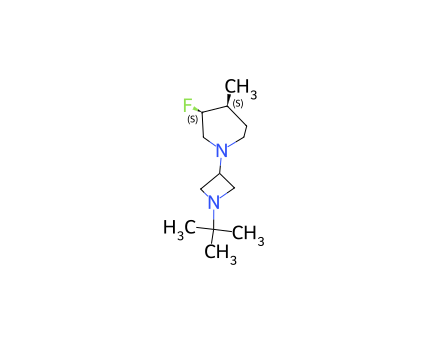 C[C@H]1CCN(C2CN(C(C)(C)C)C2)C[C@H]1F